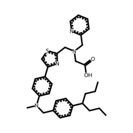 CCCC(CCC)c1ccc(CN(C)c2ccc(-c3csc(CN(CC(=O)O)Cc4ccccn4)n3)cc2)cc1